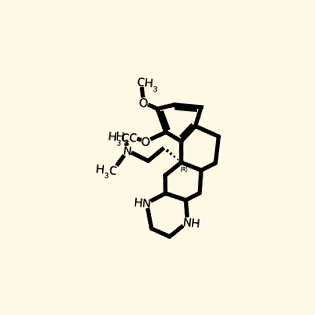 COc1ccc2c(c1OC)[C@]1(CCN(C)C)CC3NCCNC3CC1CC2